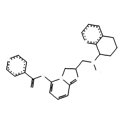 CN(CC1CN2C(NC(=O)c3ccncc3)=CC=CC2=N1)C1CCCc2cccnc21